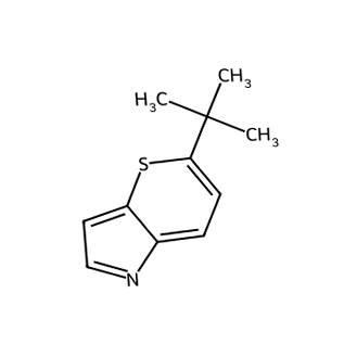 CC(C)(C)c1ccc2nccc-2s1